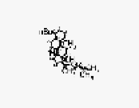 CCCCC1CCC[C@]2(C)C3=C(CCC12)[C@@H]1CC[C@H]([C@H](C)CCC=C(C)C)[C@@]1(C)CC3